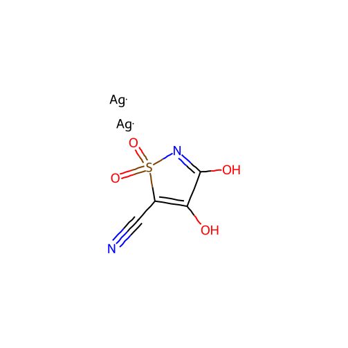 N#CC1=C(O)C(O)=NS1(=O)=O.[Ag].[Ag]